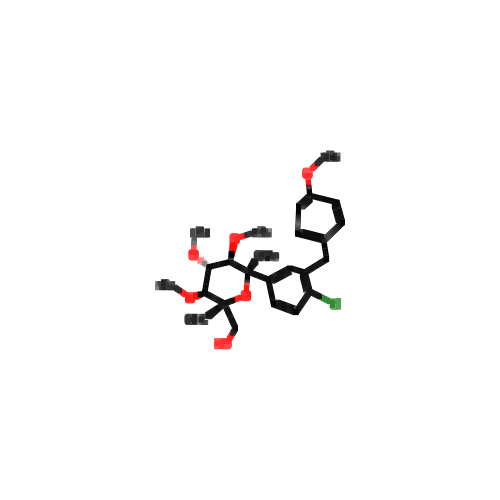 CCCCOc1ccc(Cc2cc([C@]3(OC)O[C@](C=O)(CO)[C@@H](OCCCC)[C@H](OCCCC)[C@H]3OCCCC)ccc2Cl)cc1